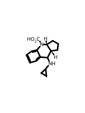 O=C(O)N1c2ccccc2C(NC2CC2)[C@H]2CCC[C@H]21